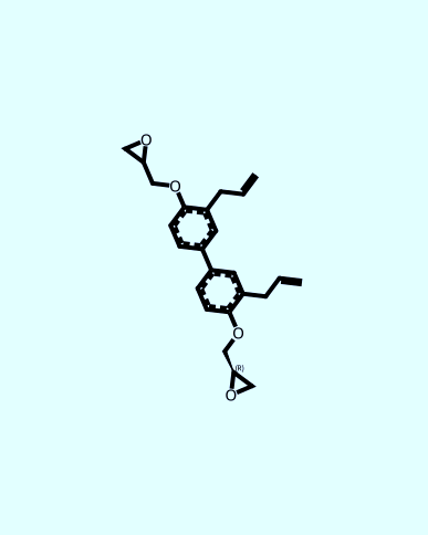 C=CCc1cc(-c2ccc(OC[C@H]3CO3)c(CC=C)c2)ccc1OCC1CO1